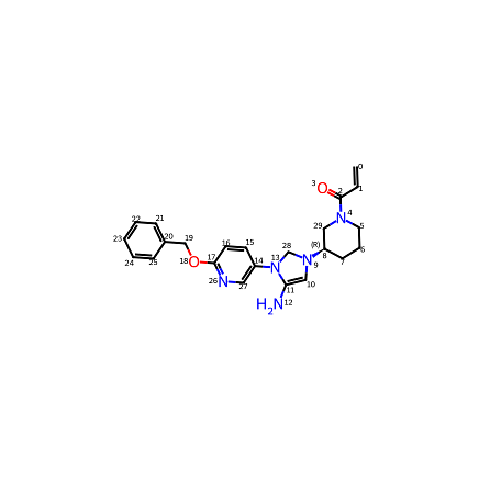 C=CC(=O)N1CCC[C@@H](N2C=C(N)N(c3ccc(OCc4ccccc4)nc3)C2)C1